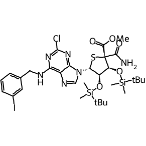 COC(=O)[C@]1(C(N)=O)S[C@@H](n2cnc3c(NCc4cccc(I)c4)nc(Cl)nc32)[C@H](O[Si](C)(C)C(C)(C)C)[C@@H]1O[Si](C)(C)C(C)(C)C